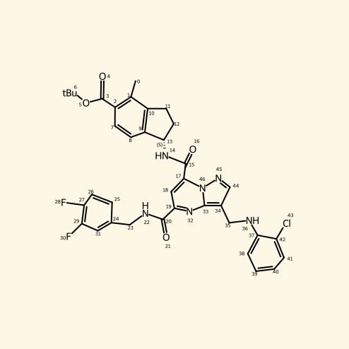 Cc1c(C(=O)OC(C)(C)C)ccc2c1CC[C@@H]2NC(=O)c1cc(C(=O)NCc2ccc(F)c(F)c2)nc2c(CNc3ccccc3Cl)cnn12